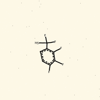 Fc1ccc(C(F)(F)S)c(F)c1F